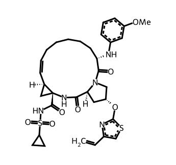 C=Cc1csc(O[C@@H]2C[C@H]3C(=O)N[C@]4(C(=O)NS(=O)(=O)C5CC5)C[C@H]4/C=C\CCCCC[C@H](Nc4cccc(OC)c4)C(=O)N3C2)n1